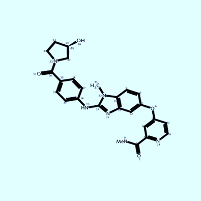 CNC(=O)c1cc(Oc2ccc3c(c2)nc(Nc2ccc(C(=O)N4CC[C@@H](O)C4)cc2)n3C)ccn1